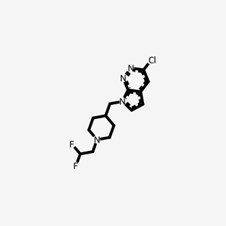 FC(F)CN1CCC(Cn2ccc3cc(Cl)nnc32)CC1